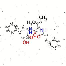 CCC(C)[C@H](NC(=O)CCc1ccccc1)C(=O)N[C@@H](CCc1ccccc1)C(=O)CO